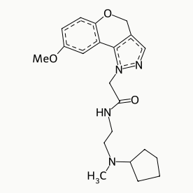 COc1ccc2c(c1)-c1c(cnn1CC(=O)NCCN(C)C1CCCC1)CO2